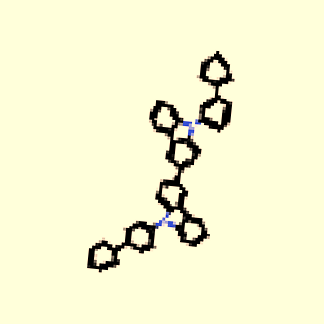 C1=CCC(c2ccc(-n3c4ccccc4c4cc(-c5ccc6c(c5)c5ccccc5n6-c5cccc(-c6ccccc6)c5)ccc43)cc2)C=C1